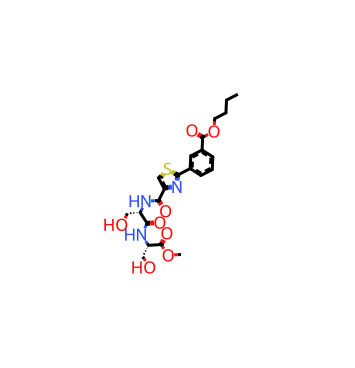 CCCCOC(=O)c1cccc(-c2nc(C(=O)N[C@@H](CO)C(=O)N[C@@H](CO)C(=O)OC)cs2)c1